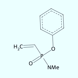 C=CP(=O)(NC)Oc1ccccc1